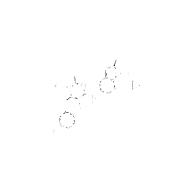 CC(C)n1c(=O)nc(Nc2ccc3c(c2)oc(=O)n3CC2CC2)n(Cc2ccc(Cl)cc2)c1=O